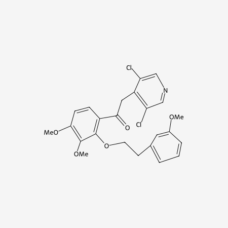 COc1cccc(CCOc2c(C(=O)Cc3c(Cl)cncc3Cl)ccc(OC)c2OC)c1